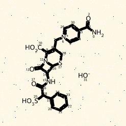 NC(=O)c1cc[n+](CC2=C(C(=O)O)N3C(=O)C(NC(=O)C(c4ccccc4)S(=O)(=O)O)C3SC2)cc1.[OH-]